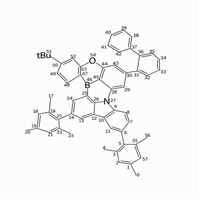 Cc1cc(C)c(-c2ccc3c(c2)c2cc(-c4c(C)cc(C)cc4C)cc4c2n3-c2cc(-c3ccccc3-c3ccccc3)cc3c2B4c2ccc(C(C)(C)C)cc2O3)c(C)c1